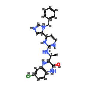 C[C@H](Nc1nccc(-c2cncn2Cc2ccccc2)n1)c1nc2cc(Cl)ccc2[nH]c1=O